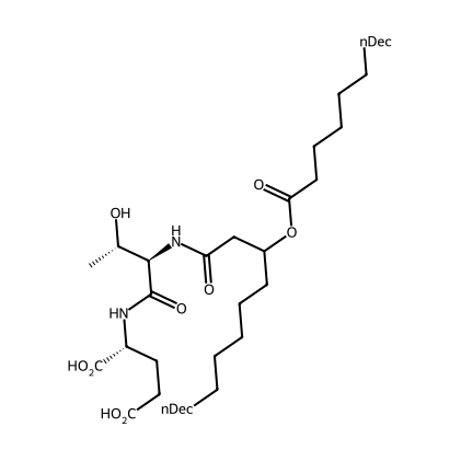 CCCCCCCCCCCCCCCC(=O)OC(CCCCCCCCCCCCCCC)CC(=O)N[C@@H](C(=O)N[C@H](CCC(=O)O)C(=O)O)[C@H](C)O